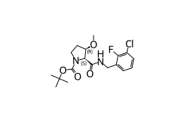 CO[C@@H]1CCN(C(=O)OC(C)(C)C)[C@@H]1C(=O)NCc1cccc(Cl)c1F